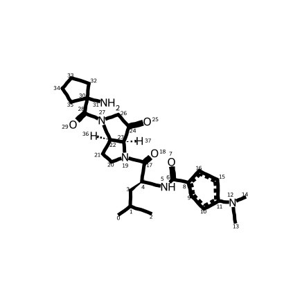 CC(C)C[C@H](NC(=O)c1ccc(N(C)C)cc1)C(=O)N1CC[C@@H]2[C@H]1C(=O)CN2C(=O)C1(N)CCCC1